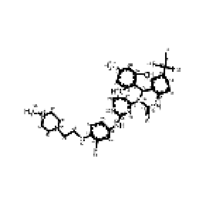 Cc1cc(C)c(C(c2cc(C(F)(F)F)ccc2Cl)N(C(=O)O)c2ccnc(Nc3ccc(OCCN4CCN(C)CC4)c(F)c3)n2)c(C)c1